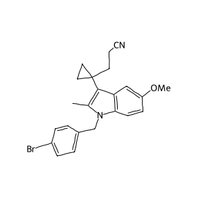 COc1ccc2c(c1)c(C1(CCC#N)CC1)c(C)n2Cc1ccc(Br)cc1